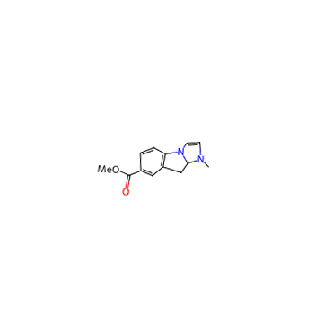 COC(=O)c1ccc2c(c1)CC1N(C)C=CN21